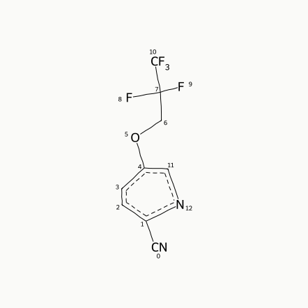 N#Cc1ccc(OCC(F)(F)C(F)(F)F)cn1